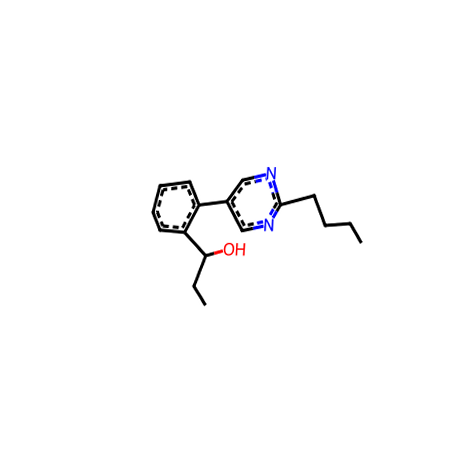 CCCCc1ncc(-c2ccccc2C(O)CC)cn1